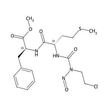 COC(=O)[C@H](Cc1ccccc1)NC(=O)[C@H](CCSC)NC(=O)N(CCCl)N=O